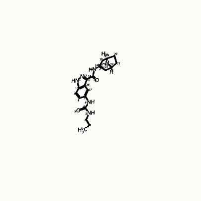 CCCNC(=O)Nc1ccc2[nH]nc(C(=O)N[C@H]3C[C@H]4CC[C@@H](C3)N4C)c2c1